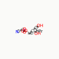 CC(C)[C@@H]1C2C[C@H](O)CC[C@]2(C)C2CC[C@@]3(C)C(CC[C@@H]3[C@H](C)CCO[P@]3(=O)OCC[C@H](c4ccncc4)O3)C2[C@@H]1O